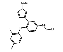 CCSNc1ccc(Oc2ccc(F)cc2F)c(C2=CC(NC)C=C2)c1